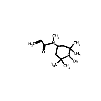 C=CC(=O)N(C)C1CC(C)(C)N(O)C(C)(C)C1